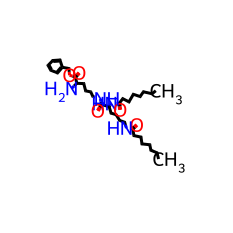 CCCCCCCC(=O)NCCCCC(NC(=O)CCCCCCC)C(=O)NCCCCC(N)C(=O)OCc1ccccc1